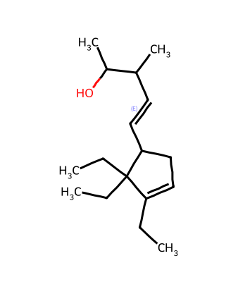 CCC1=CCC(/C=C/C(C)C(C)O)C1(CC)CC